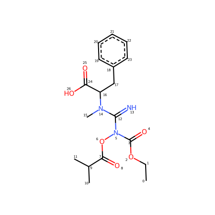 CCOC(=O)N(OC(=O)C(C)C)C(=N)N(C)C(Cc1ccccc1)C(=O)O